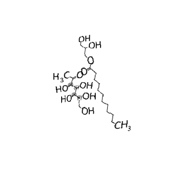 CC(=O)[C@H](O)[C@@H](O)[C@H](O)[C@H](O)CO.CCCCCCCCCCCC(=O)OCC(O)CO